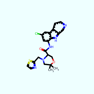 CC1(C)CN(Cc2nccs2)C(C(=O)Nc2cc(Cl)cc3c2[nH]c2cnccc23)CO1